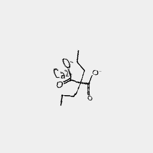 CCCC(CCC)(C(=O)[O-])C(=O)[O-].[Ca+2]